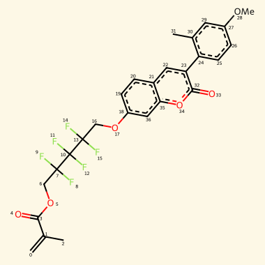 C=C(C)C(=O)OCC(F)(F)C(F)(F)C(F)(F)COc1ccc2cc(-c3ccc(OC)cc3C)c(=O)oc2c1